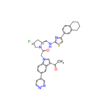 CC(=O)c1cn(CC(=O)N2C[C@H](F)C[C@H]2CNc2nc(-c3ccc4c(c3)CCCC4)cs2)c2ccc(-c3ccnnc3)cc12